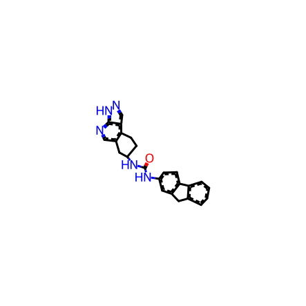 O=C(Nc1ccc2c(c1)Cc1ccccc1-2)NC1CCc2c(cnc3[nH]ncc23)C1